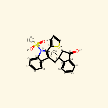 C[C@]1(Cc2c(-c3cccs3)n(S(C)(=O)=O)c3ccccc23)CC(=O)c2ccccc21